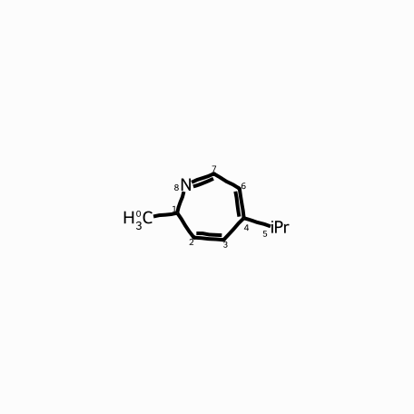 CC1C=CC(C(C)C)=CC=N1